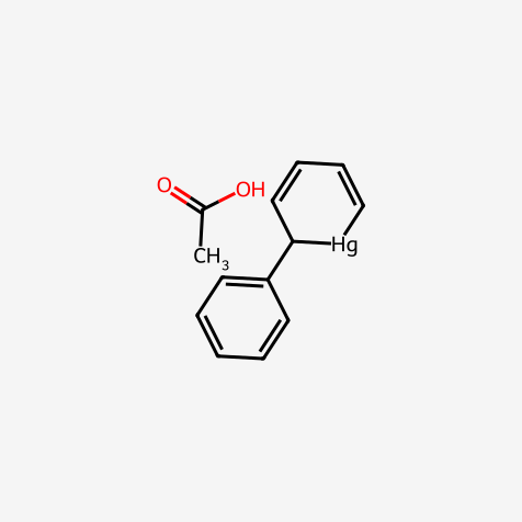 C1=[CH][Hg][CH](c2ccccc2)C=C1.CC(=O)O